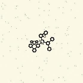 c1ccc(-c2cc(-c3ccccc3)cc(-c3cc(-c4cccc5c4oc4ccccc45)nc(-c4ccc5c(c4)C4(c6ccccc6-c6ccccc6-5)c5ccccc5-c5ccccc54)n3)c2)cc1